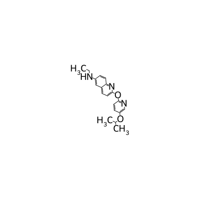 CCNc1ccc2nc(Oc3ccc(OC(C)C)cn3)ccc2c1